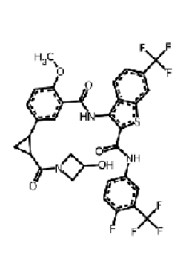 COc1ccc(C2CC2C(=O)N2CC(O)C2)cc1C(=O)Nc1c(C(=O)Nc2ccc(F)c(C(F)(F)F)c2)sc2cc(C(F)(F)F)ccc12